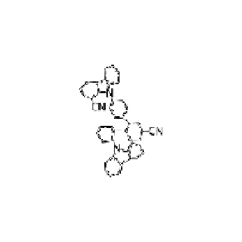 N#Cc1ccc(-c2ccccc2-n2c3ccccc3c3ccccc32)c(-c2ccc(-n3c4ccccc4c4cccc(C#N)c43)cc2)c1